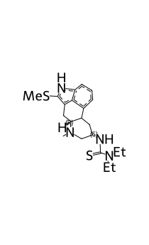 CCN(CC)C(=S)N[C@H]1CC2c3cccc4[nH]c(SC)c(c34)C[C@H]2N(C)C1